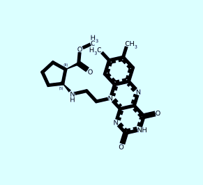 COC(=O)[C@@H]1CCC[C@@H]1NCCn1c2nc(=O)[nH]c(=O)c-2nc2cc(C)c(C)cc21